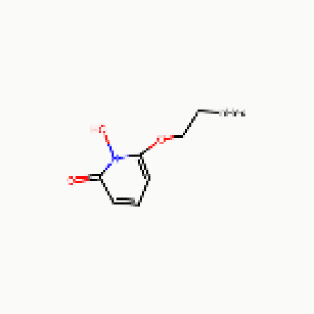 CCCCCCCCOc1cccc(=O)n1O